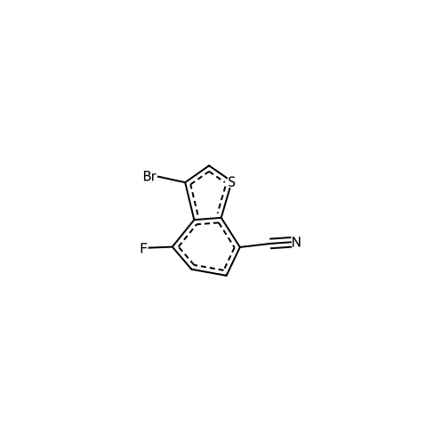 N#Cc1ccc(F)c2c(Br)csc12